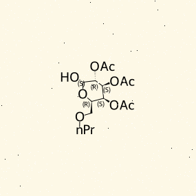 CCCOC[C@H]1O[C@H](O)[C@H](OC(C)=O)[C@@H](OC(C)=O)[C@H]1OC(C)=O